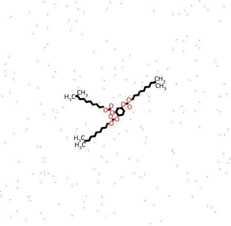 CC(C)CCCCCCCCOC(=O)OC1CCC(OC(=O)OCCCCCCCCC(C)C)C(OC(=O)OCCCCCCCCC(C)C)C1